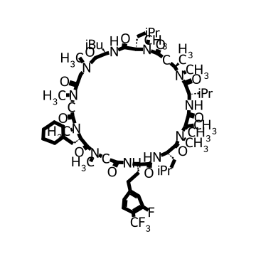 CCC(C)[C@@H]1NC(=O)[C@H](CC(C)C)N(C)C(=O)C[C@@H](C)N(C)C(=O)[C@H](C(C)C)NC(=O)C(C)(C)N(C)C(=O)[C@H](CC(C)C)NC(=O)[C@H](CCc2ccc(C(F)(F)F)c(F)c2)NC(=O)CN(C)C(=O)[C@H](CC2CCCCC2)N(C)C(=O)CN(C)C(=O)CN(C)C1=O